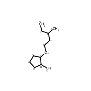 CCC(C)CCOC1CCCC1O